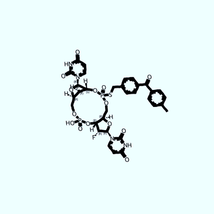 Cc1ccc(C(=O)c2ccc(CSP3(=O)OC[C@H]4O[C@@H](n5ccc(=O)[nH]c5=O)[C@H](F)[C@@H]4OP(=O)(O)OC[C@H]4O[C@@H](n5ccc(=O)[nH]c5=O)[C@H](O3)[C@@H]4F)cc2)cc1